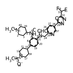 CN1CCC(N(C)c2cc(C3CCN([S+](C)[O-])CC3)ccc2N(C=O)Cc2ccc(-c3nnc(C(F)F)o3)cn2)CC1